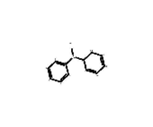 IN(c1ccccc1)C1C=CC=CC1